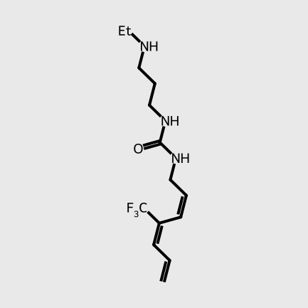 C=C/C=C(\C=C/CNC(=O)NCCCNCC)C(F)(F)F